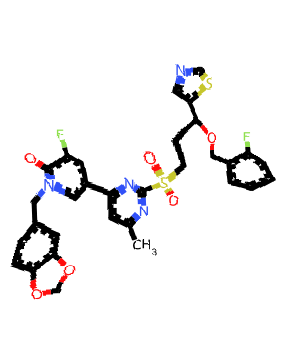 Cc1cc(-c2cc(F)c(=O)n(Cc3ccc4c(c3)OCO4)c2)nc(S(=O)(=O)CCC(OCc2ccccc2F)c2cncs2)n1